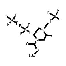 CC1CN(C(=O)OC(C)(C)C)CCN1C.F[B-](F)(F)F.F[B-](F)(F)F.F[B-](F)(F)F